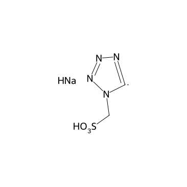 O=S(=O)(O)Cn1[c]nnn1.[NaH]